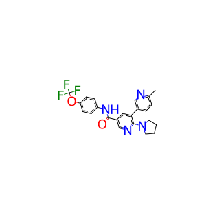 Cc1ccc(-c2cc(C(=O)Nc3ccc(OC(F)(F)F)cc3)cnc2N2CCCC2)cn1